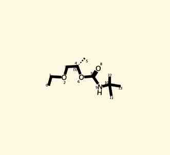 CCOC[C@H](C)OC(=O)NC(C)(C)C